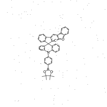 CC1(C)OB(c2ccc(N3c4ccccc4C4(c5ccccc5-c5cc6c(cc54)oc4ccccc46)c4ccccc43)cc2)OC1(C)C